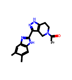 Cc1cc2nc(-c3n[nH]c4c3CN(C(=O)C(C)C)CC4)[nH]c2cc1C